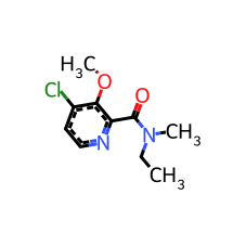 CCN(C)C(=O)c1nccc(Cl)c1OC